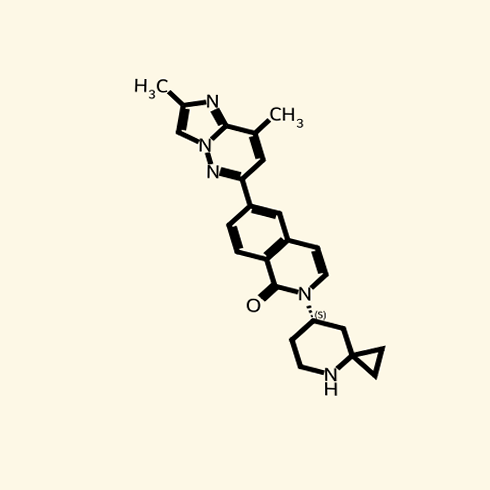 Cc1cn2nc(-c3ccc4c(=O)n([C@H]5CCNC6(CC6)C5)ccc4c3)cc(C)c2n1